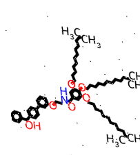 CC(C)CCCCCCCCCCOc1cc(C(=O)NCCOc2cccc(-c3ccc(C(O)c4ccccc4)cc3)c2)cc(OCCCCCCCCCCC(C)C)c1OCCCCCCCCCCC(C)C